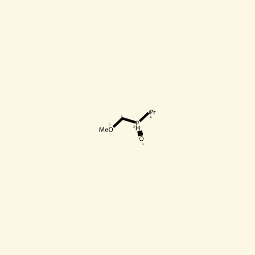 COC[PH](=O)C(C)C